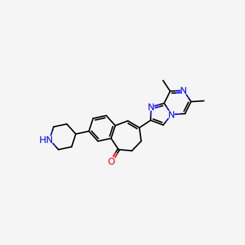 Cc1cn2cc(C3=Cc4ccc(C5CCNCC5)cc4C(=O)CC3)nc2c(C)n1